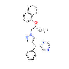 O=C(O)C(Cn1cc(C(c2ccccc2)c2cnccn2)cn1)Oc1cccc2c1CCCC2